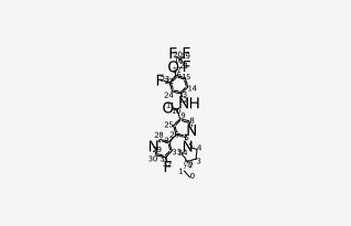 CC[C@H]1CCN(c2ncc(C(=O)Nc3ccc(OC(F)(F)F)c(F)c3)cc2-c2cncc(F)c2)C1